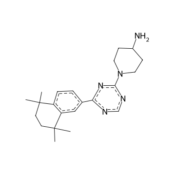 CC1(C)CCC(C)(C)c2cc(-c3ncnc(N4CCC(N)CC4)n3)ccc21